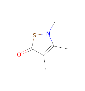 Cc1c(C)n(C)sc1=O